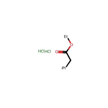 CCOC(=O)CC(C)C.Cl.Cl